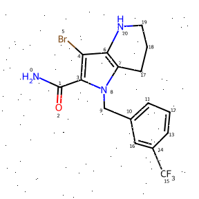 NC(=O)c1c(Br)c2c(n1Cc1cccc(C(F)(F)F)c1)CCCN2